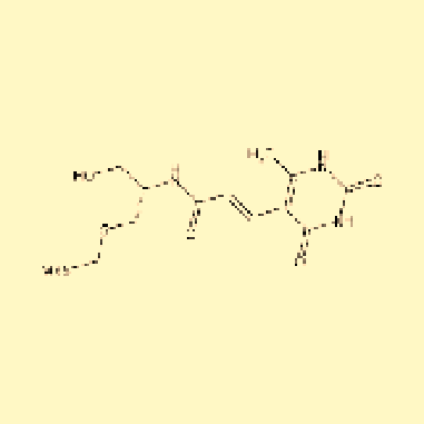 CSCSC[C@H](CO)NC(=O)/C=C/c1c(C)[nH]c(=O)[nH]c1=O